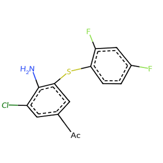 CC(=O)c1cc(Cl)c(N)c(Sc2ccc(F)cc2F)c1